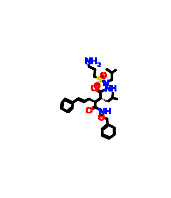 CC(C)C[C@@H](C(=O)NN(CC(C)C)S(=O)(=O)CCCN)[C@H](CC=Cc1ccccc1)C(=O)NOCc1ccccc1